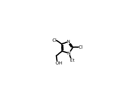 CCn1c(Cl)nc(Cl)c1CO